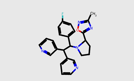 Cc1noc(C2CCCN2C(c2ccc(F)cc2)C(c2cccnc2)c2cccnc2)n1